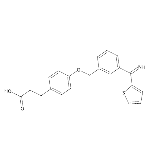 N=C(c1cccc(COc2ccc(CCC(=O)O)cc2)c1)c1cccs1